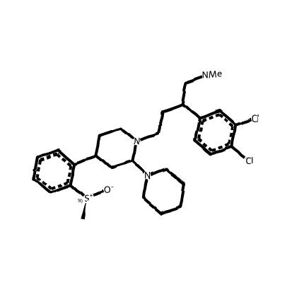 CNCC(CCN1CCC(c2ccccc2[S@+](C)[O-])CC1N1CCCCC1)c1ccc(Cl)c(Cl)c1